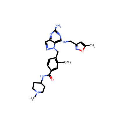 COc1cc(C(=O)NC2CCN(C)CC2)ccc1Cn1ncc2nc(N)nc(NCc3cc(C)on3)c21